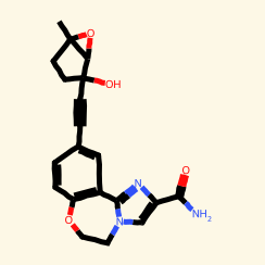 CC12CCC(O)(C#Cc3ccc4c(c3)-c3nc(C(N)=O)cn3CCO4)C1O2